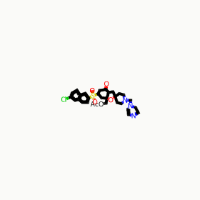 CC(=O)OCC12CC(S(=O)(=O)c3ccc4cc(Cl)ccc4c3)CC(=O)C1CC1(CCN(CN3C=CN=CC3)CC1)O2